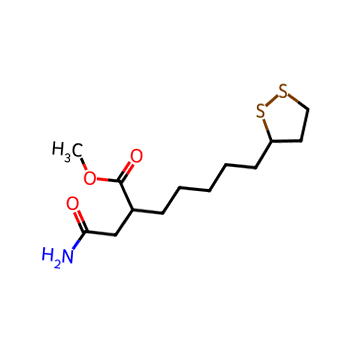 COC(=O)C(CCCCCC1CCSS1)CC(N)=O